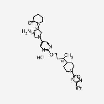 CC(C)c1noc(N2CCC([C@H](C)CCOc3ncc(N4C[C@H](N)[C@@H](N5CCCCC5=O)C4)cn3)CC2)n1.Cl